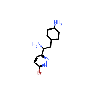 NC1CCC(CC(N)c2ccc(Br)nn2)CC1